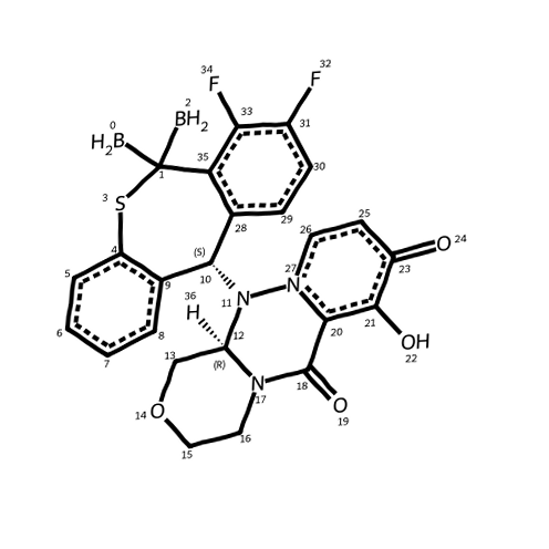 BC1(B)Sc2ccccc2[C@@H](N2[C@@H]3COCCN3C(=O)c3c(O)c(=O)ccn32)c2ccc(F)c(F)c21